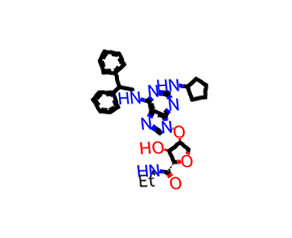 CCNC(=O)[C@H]1OC[C@H](On2cnc3c(NCC(c4ccccc4)c4ccccc4)nc(NC4CCCC4)nc32)[C@@H]1O